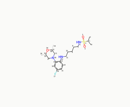 CC(C)S(=O)(=O)NCCCCCNc1ccc(F)cc1N1C[C@@H](C)O[C@@H](C)C1